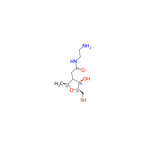 C[C@@H]1O[C@H](CS)[C@H](O)C1CC(=O)NCCN